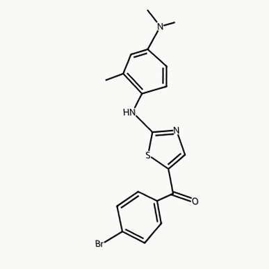 Cc1cc(N(C)C)ccc1Nc1ncc(C(=O)c2ccc(Br)cc2)s1